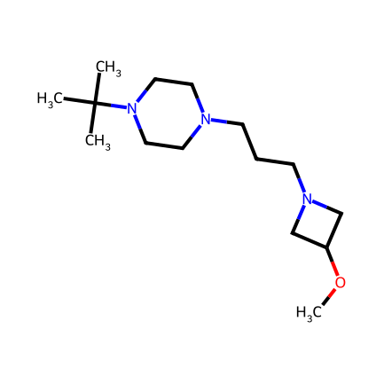 COC1CN(CCCN2CCN(C(C)(C)C)CC2)C1